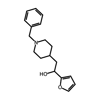 OC(CC1CCN(Cc2ccccc2)CC1)c1ccco1